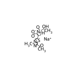 CC(=O)c1nc(C)n2cc(C3=C(C(=O)[O-])N4C(=O)[C@H]([C@@H](C)O)[C@H]4C3)sc12.[Na+]